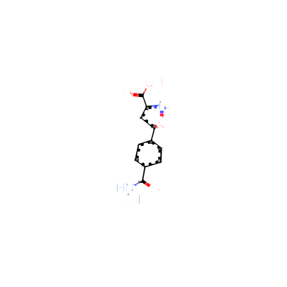 CNC(=O)c1ccc(-c2cc(C(=O)O)no2)cc1